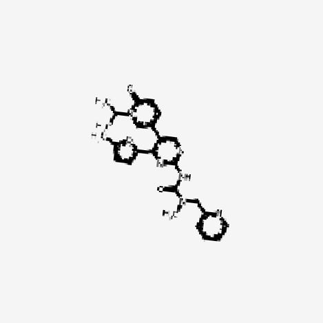 Cc1ccc(-c2nc(NC(=O)N(C)Cc3ccccn3)ncc2-c2ccc(=O)n(C(C)C)c2)o1